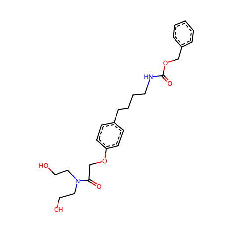 O=C(NCCCCc1ccc(OCC(=O)N(CCO)CCO)cc1)OCc1ccccc1